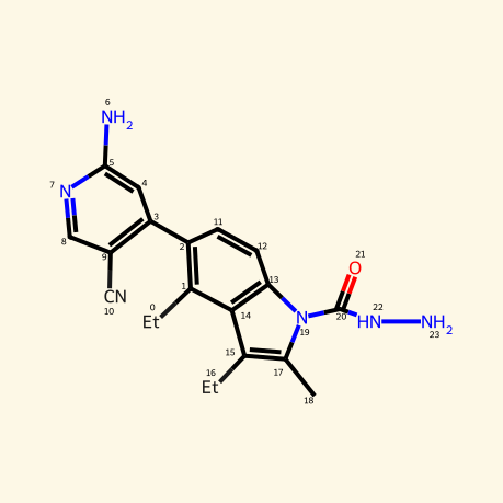 CCc1c(-c2cc(N)ncc2C#N)ccc2c1c(CC)c(C)n2C(=O)NN